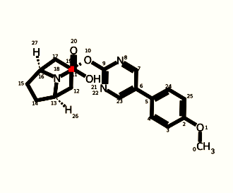 COc1ccc(-c2cnc(O[C@@H]3C[C@H]4CC[C@@H](C3)N4C(=O)O)nc2)cc1